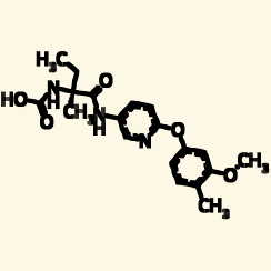 CC[C@@](C)(NC(=O)O)C(=O)Nc1ccc(Oc2ccc(C)c(OC)c2)nc1